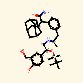 C[C@H](Cc1cccc(C(C(N)=O)C23CC4CC(CC(C4)C2)C3)c1)NC[C@@H](O[Si](C)(C)C(C)(C)C)c1ccc(O)c(CO)c1